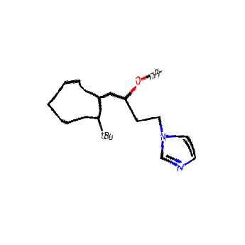 CCCOC(CCn1ccnc1)C1CCCCC1C(C)(C)C